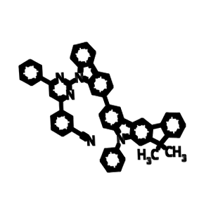 CC1(C)c2ccccc2-c2cc3c4cc(-c5ccc6c7ccccc7n(-c7nc(-c8ccccc8)cc(-c8cccc(C#N)c8)n7)c6c5)ccc4n(-c4ccccc4)c3cc21